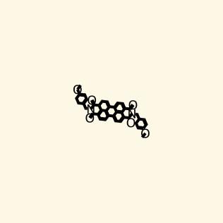 COC1=CCC(CN2C(=O)c3ccc4c5c6c7c(ccc6c6ccc(c3c46)C2=O)C(=O)N(CC2=CC=C(OC)CC2)C(=O)C7CC=5)C=C1